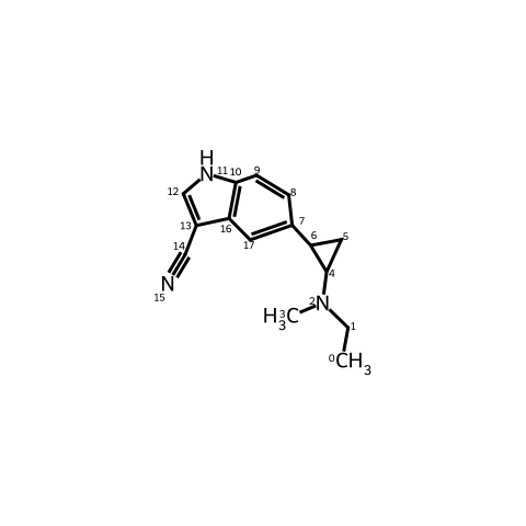 CCN(C)C1CC1c1ccc2[nH]cc(C#N)c2c1